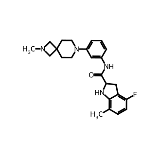 Cc1ccc(F)c2c1NC(C(=O)Nc1cccc(N3CCC4(CC3)CN(C)C4)c1)C2